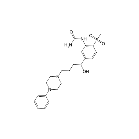 CS(=O)(=O)c1ccc(C(O)CCCN2CCN(c3ccccc3)CC2)cc1NC(N)=O